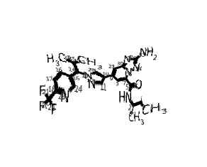 CC[C@H](C)NC(=O)c1cc(-c2cnn(C(c3ccc(C(F)(F)F)nc3)C(C)C)c2)cc2nc(N)nn12